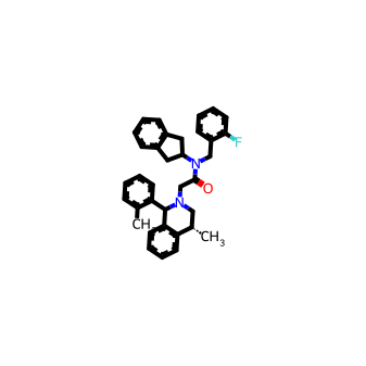 Cc1ccccc1C1c2ccccc2[C@@H](C)CN1CC(=O)N(Cc1ccccc1F)C1Cc2ccccc2C1